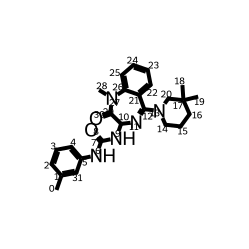 Cc1cccc(NC(=O)NC2N=C(N3CCCC(C)(C)C3)c3ccccc3N(C)C2=O)c1